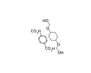 O=C(O)c1ccc(C(=O)O)cc1.OCOC1CCC(OCO)CC1